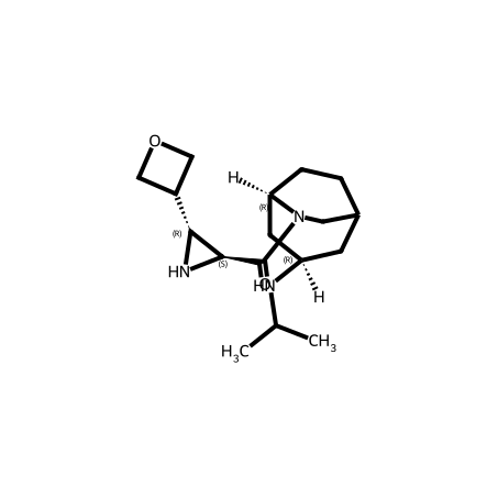 CC(C)N[C@@H]1CC2CC[C@H](C1)N(C(=O)[C@H]1N[C@@H]1C1COC1)C2